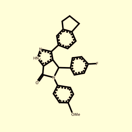 COc1ccc(N2C(=O)c3[nH]nc(-c4ccc5c(c4)CCC5)c3C2c2ccc(F)cc2)cc1